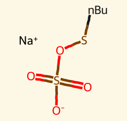 CCCCSOS(=O)(=O)[O-].[Na+]